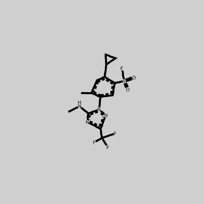 CNc1nc(C(F)(F)F)nn1-c1cc(S(=O)(=O)F)c(C2CC2)cc1C